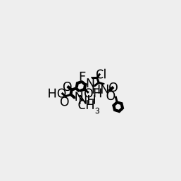 CNn1cc(C(=O)O)c(=O)c2cc(F)c(N3CC(Cl)C(CNC(=O)OCc4ccccc4)C3)c(O)c21